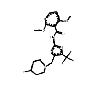 COc1ncnc(OC)c1C(=O)Nc1nc(C(F)(F)F)c(CN2CCC(F)CC2)s1